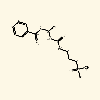 CCCCP(=O)(O)CCCNC(=O)OC(C)OC(=O)c1ccccc1